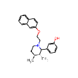 C[C@H]1CCN(CCOc2ccc3ccccc3c2)C(c2cccc(O)c2)[C@@H]1C